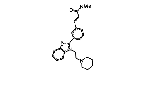 CNC(=O)/C=C/c1cccc(-c2nc3ccccc3n2CCN2CCCCC2)c1